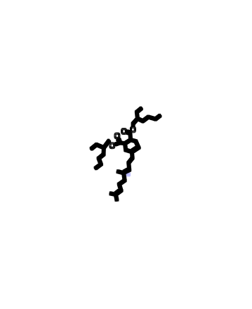 CCCCC(CC)COC(=O)C1CC=C(CC/C=C(\C)CCC=C(C)C)CC1C(=O)OCC(CC)CCCC